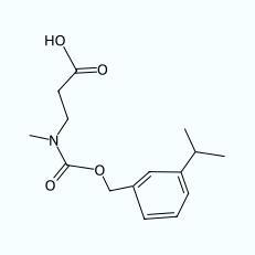 CC(C)c1cccc(COC(=O)N(C)CCC(=O)O)c1